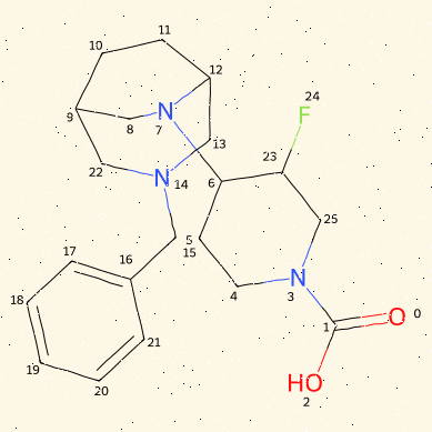 O=C(O)N1CCC(N2CC3CCC2CN(Cc2ccccc2)C3)C(F)C1